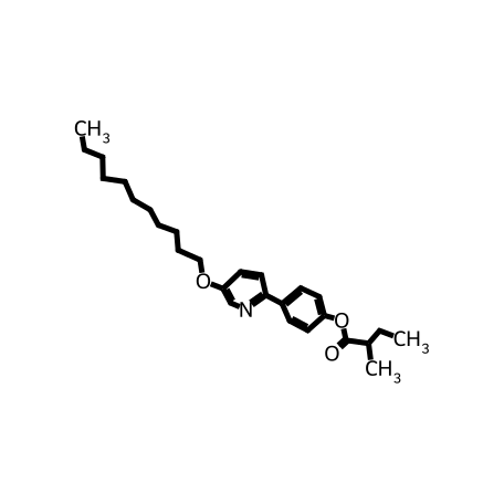 CCCCCCCCCCCOc1ccc(-c2ccc(OC(=O)C(C)CC)cc2)nc1